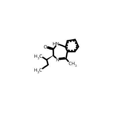 CCC(C)[C@@H]1N=C(C)c2ccccc2NC1=O